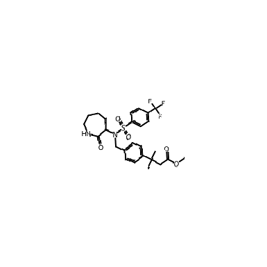 COC(=O)CC(C)(C)c1ccc(CN(C2CCCCNC2=O)S(=O)(=O)c2ccc(C(F)(F)F)cc2)cc1